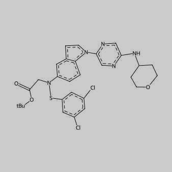 CC(C)(C)OC(=O)CN(Sc1cc(Cl)cc(Cl)c1)c1ccc2c(ccn2-c2cnc(NC3CCOCC3)cn2)c1